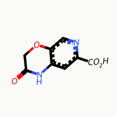 O=C1COc2cnc(C(=O)O)cc2N1